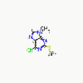 CCCSc1nc(Cl)c2ncn(C)c2n1